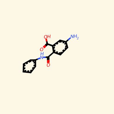 Nc1ccc(C(=O)Nc2ccccc2)c(C(=O)O)c1